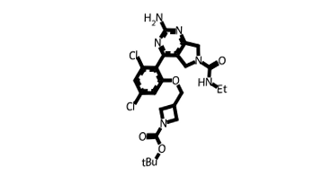 CCNC(=O)N1Cc2nc(N)nc(-c3c(Cl)cc(Cl)cc3OCC3CN(C(=O)OC(C)(C)C)C3)c2C1